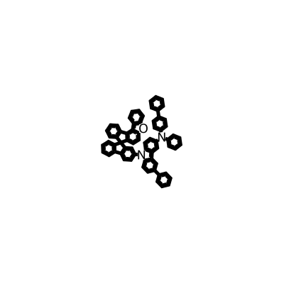 c1ccc(-c2ccc(N(c3ccccc3)c3ccc4c(c3)c3cc(-c5ccccc5)ccc3n4-c3ccc4c(c3)C3(c5ccccc5-4)c4ccccc4-c4c3ccc3oc5ccccc5c43)cc2)cc1